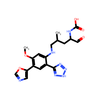 COc1cc(NCC(C)CC(C=O)NC(=O)O)c(-c2nn[nH]n2)cc1-c1cnco1